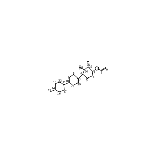 C=COC1CCC(C2CCC(C3CCC(C)CC3)CC2)C(F)C1F